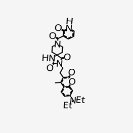 CCN(CC)c1ccc2c(C)c(CCN3C(=O)NC4(CCN(C(=O)c5ccc[nH]c5=O)CC4)C3=O)c(=O)oc2c1